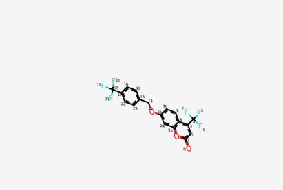 O=c1cc(C(F)(F)F)c2ccc(OCc3ccc(C(F)(F)F)cc3)cc2o1